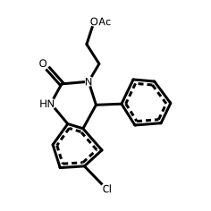 CC(=O)OCCN1C(=O)Nc2ccc(Cl)cc2C1c1ccccc1